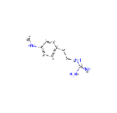 CCNc1ccc(CCNC(=N)N)cc1